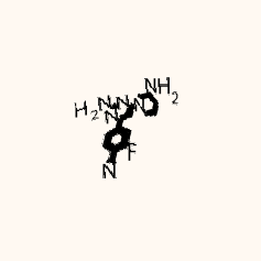 N#Cc1ccc(-c2cc(N3CCC[C@@H](N)C3)nc(N)n2)cc1F